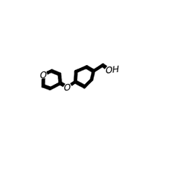 OCC1CCC(OC2CCOCC2)CC1